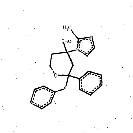 Cc1nccn1C1(C=O)CCOC(Sc2ccccc2)(c2ccccc2)C1